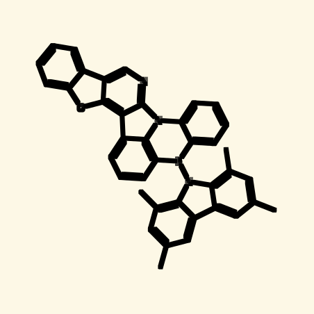 Cc1cc(C)c2c(c1)c1cc(C)cc(C)c1n2B1c2ccccc2-n2c3ncc4c5ccccc5oc4c3c3cccc1c32